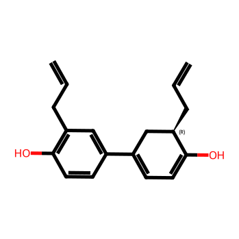 C=CCc1cc(C2=CC=C(O)[C@H](CC=C)C2)ccc1O